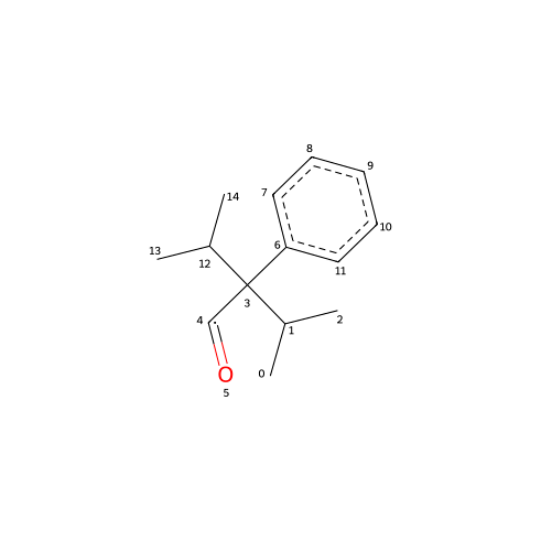 CC(C)C([C]=O)(c1ccccc1)C(C)C